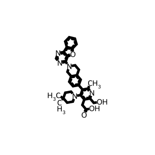 Cc1nc(CO)c(CC(=O)O)c(N2CCC(C)(C)CC2)c1-c1ccc2c(c1)CCN(c1ncnc3c1oc1ccccc13)C2